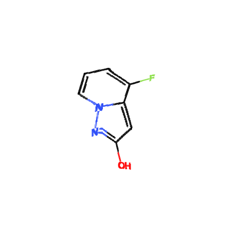 Oc1cc2c(F)cccn2n1